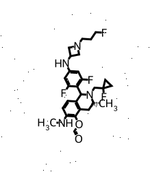 CNc1ccc2c(c1OC=O)C[C@@H](C)N(CC1(F)CC1)C2c1c(F)cc(NC2CN(CCCF)C2)cc1F